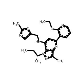 CCOc1ncccc1-c1cc(NCc2cnc(C)o2)c2c(n1)c(C)nn2[C@H](C)CC